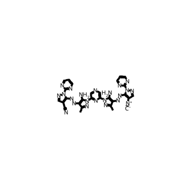 [C-]#[N+]c1cnn(-c2ncccn2)c1N=Nc1c(C)nn(-c2cncc(-n3nc(C)c(N=Nc4c(C#N)cnn4-c4ncccn4)c3N)n2)c1N